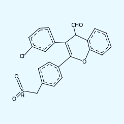 O=CC1C(c2cccc(Cl)c2)=C(c2ccc(C[SH](=O)=O)cc2)Oc2ccccc21